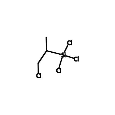 CC(CCl)[Si](Cl)(Cl)Cl